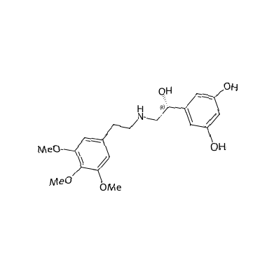 COc1cc(CCNC[C@H](O)c2cc(O)cc(O)c2)cc(OC)c1OC